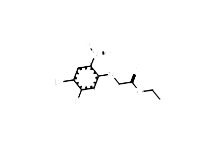 CCOC(=O)CNc1cc(F)c(Br)cc1[N+](=O)[O-]